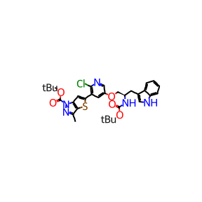 Cc1nn(C(=O)OC(C)(C)C)c2cc(-c3cc(OC[C@@H](Cc4c[nH]c5ccccc45)NC(=O)OC(C)(C)C)cnc3Cl)sc12